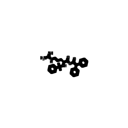 CC(C)(N[C@@H](CCCNC(=N)N)C(=O)OC(=O)C(c1ccccc1)c1ccccc1)c1ccccc1